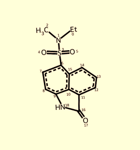 CCN(C)S(=O)(=O)c1ccc2c3c(cccc13)C(=O)N2